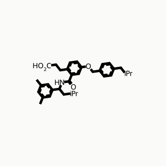 Cc1cc(C)cc(C(CC(C)C)NC(=O)c2cc(OCc3ccc(CC(C)C)cc3)ccc2CCC(=O)O)c1